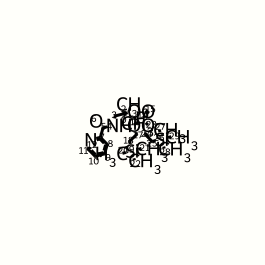 CC(C)(CNC(=O)c1cc[c]cn1)OP(=O)(OCC[Si](C)(C)C)OCC[Si](C)(C)C